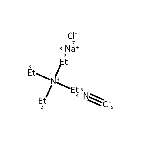 CC[N+](CC)(CC)CC.[C-]#N.[Cl-].[Na+]